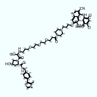 COc1cc(Nc2c(C#N)cnc3cc(OCCCN4CCN(C(=O)CCOCCOCCOCCCNC(C(=O)N5C[C@H](O)C[C@H]5C(=O)NCc5ccc(-c6scnc6C)cc5)C(C)(C)C)CC4)c(OC)cc23)c(Cl)cc1Cl